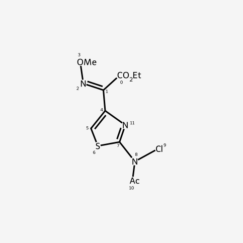 CCOC(=O)C(=NOC)c1csc(N(Cl)C(C)=O)n1